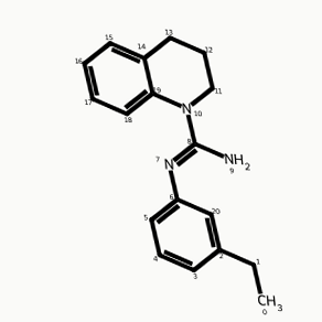 CCc1cccc(N=C(N)N2CCCc3ccccc32)c1